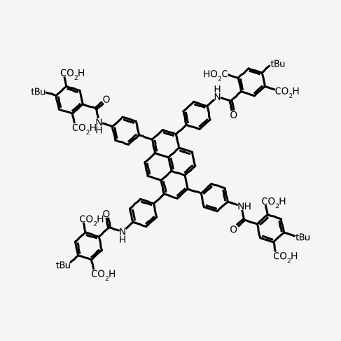 CC(C)(C)c1cc(C(=O)O)c(C(=O)Nc2ccc(-c3cc(-c4ccc(NC(=O)c5cc(C(=O)O)c(C(C)(C)C)cc5C(=O)O)cc4)c4ccc5c(-c6ccc(NC(=O)c7cc(C(=O)O)c(C(C)(C)C)cc7C(=O)O)cc6)cc(-c6ccc(NC(=O)c7cc(C(=O)O)c(C(C)(C)C)cc7C(=O)O)cc6)c6ccc3c4c65)cc2)cc1C(=O)O